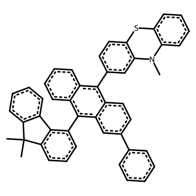 CN1c2ccccc2Sc2ccc(-c3c4ccccc4c(-c4cccc5c4-c4ccccc4C5(C)C)c4cc(-c5ccccc5)ccc34)cc21